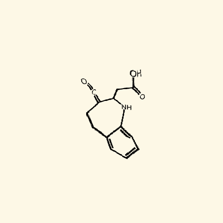 O=C=C1CCc2ccccc2NC1CC(=O)O